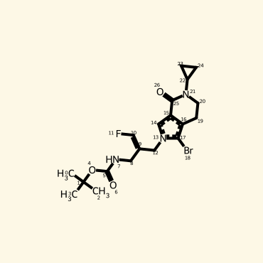 CC(C)(C)OC(=O)NCC(=CF)Cn1cc2c(c1Br)CCN(C1CC1)C2=O